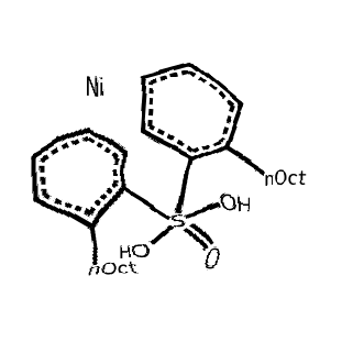 CCCCCCCCc1ccccc1S(=O)(O)(O)c1ccccc1CCCCCCCC.[Ni]